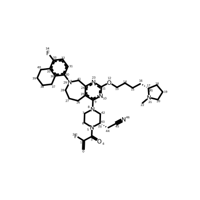 C=C(F)C(=O)N1CCN(c2nc(OCCCC[C@@H]3CCCN3C)nc3c2CCCN(c2ccc(F)c4c2CCCC4)C3)C[C@@H]1CC#N